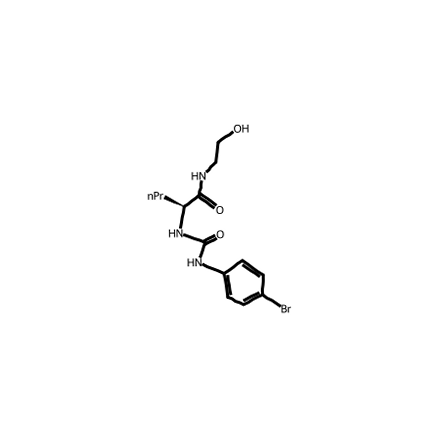 CCC[C@H](NC(=O)Nc1ccc(Br)cc1)C(=O)NCCO